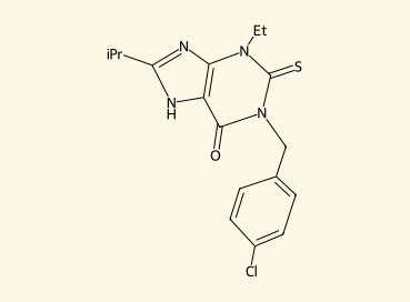 CCn1c(=S)n(Cc2ccc(Cl)cc2)c(=O)c2[nH]c(C(C)C)nc21